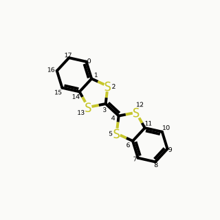 C1=C2SC(=C3Sc4ccccc4S3)SC2=CCC1